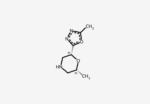 Cc1nnc([C@H]2CNC[C@@H](C)O2)o1